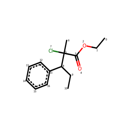 CCOC(=O)C(C)(Cl)C(CC)c1ccccc1